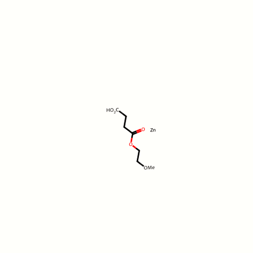 COCCOC(=O)CCC(=O)O.[Zn]